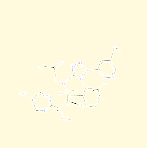 CO[C@H](c1ncc(C)cn1)[C@H](C)S(=O)(=O)N(OC(=O)C(F)(F)F)c1nnc(-c2cncc(C)c2)n1-c1c(Cl)cccc1Cl